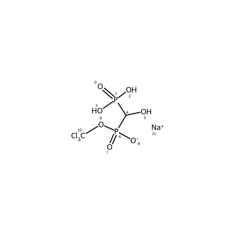 O=P(O)(O)C(O)P(=O)([O-])OC(Cl)(Cl)Cl.[Na+]